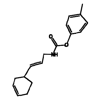 Cc1ccc(OC(=O)NC/C=C/C2CC=CCC2)cc1